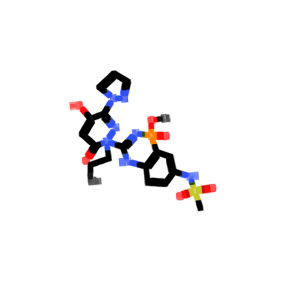 CCOP1(=O)N=C([N+]2(CCC(C)(C)C)N=C(n3cccn3)C(O)=CC2=O)Nc2ccc(NS(C)(=O)=O)cc21